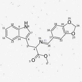 COC(=O)C(Cc1c[nH]c2ccccc12)/N=C/c1ccc2c(c1)OCO2